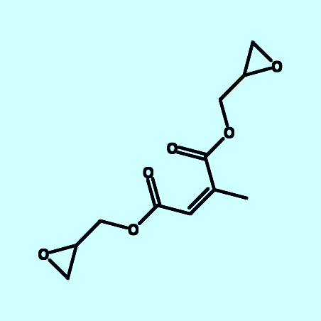 CC(=CC(=O)OCC1CO1)C(=O)OCC1CO1